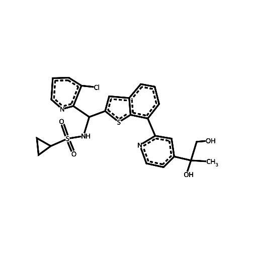 CC(O)(CO)c1ccnc(-c2cccc3cc(C(NS(=O)(=O)C4CC4)c4ncccc4Cl)sc23)c1